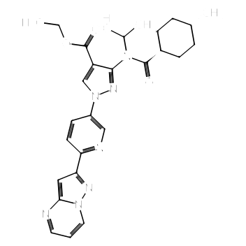 CCOC(=O)c1cn(-c2ccc(-c3cc4ncccn4n3)nc2)nc1N(C(=O)[C@H]1CC[C@H](C)CC1)C(C)C